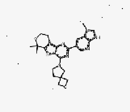 Cc1c[nH]c2ncc(-c3nc(N4CCC5(COC5)C4)c4nc5n(c4n3)CCOC5(C)C)cc12